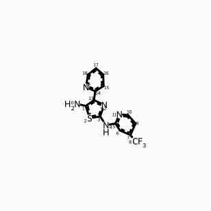 Nc1sc(Nc2cc(C(F)(F)F)ccn2)nc1-c1ccccn1